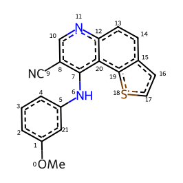 COc1cccc(Nc2c(C#N)cnc3ccc4ccsc4c23)c1